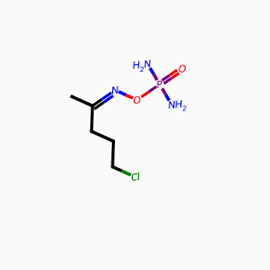 CC(CCCCl)=NOP(N)(N)=O